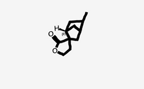 CC1C[C@@H]2CC1CC21CCOC1=O